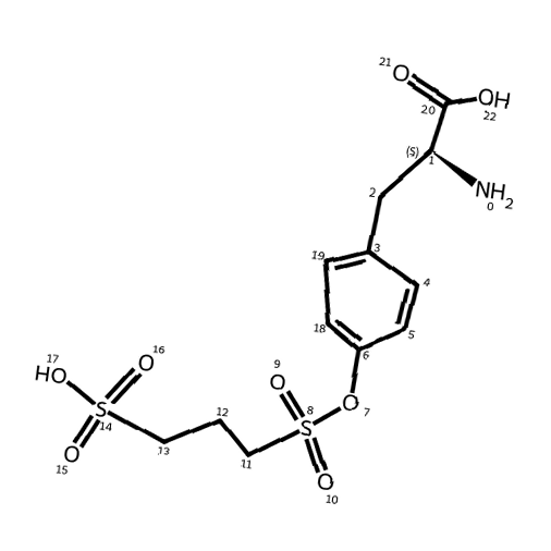 N[C@@H](Cc1ccc(OS(=O)(=O)CCCS(=O)(=O)O)cc1)C(=O)O